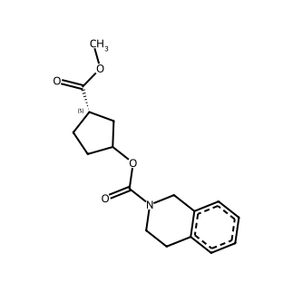 COC(=O)[C@H]1CCC(OC(=O)N2CCc3ccccc3C2)C1